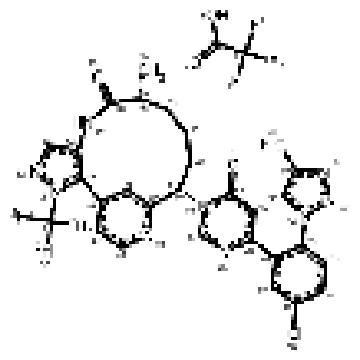 O=C(O)C(F)(F)F.[2H]C([2H])([2H])n1ncc2c1-c1ccnc(c1)[C@@H](n1cnc(-c3cc(Cl)ccc3-n3cc(C(F)(F)F)nn3)cc1=O)CCC[C@@H](C)C(=O)N2